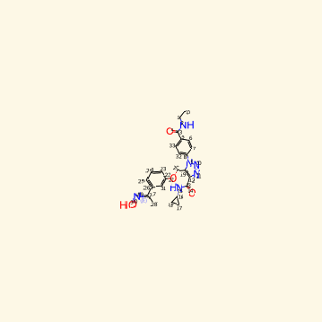 CCNC(=O)c1ccc(-n2nnc(C(=O)NC3CC3)c2COc2cccc(/C(C)=N/O)c2)cc1